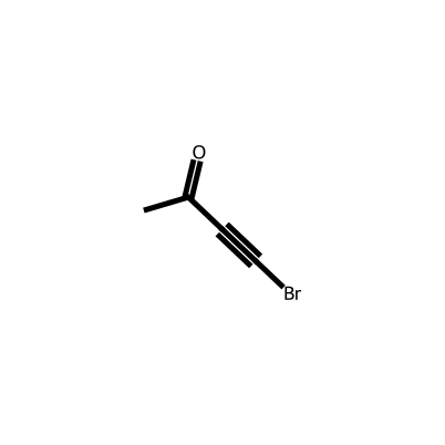 CC(=O)C#CBr